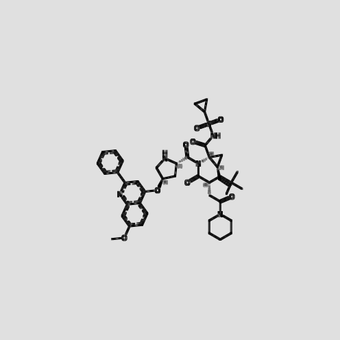 C=C[C@@H]1C[C@@]1(C(=O)NS(=O)(=O)C1CC1)N(C(=O)[C@@H](CC(=O)N1CCCCC1)CC(C)(C)C)C(=O)[C@@H]1C[C@@H](Oc2cc(-c3ccccc3)nc3cc(OC)ccc23)CN1